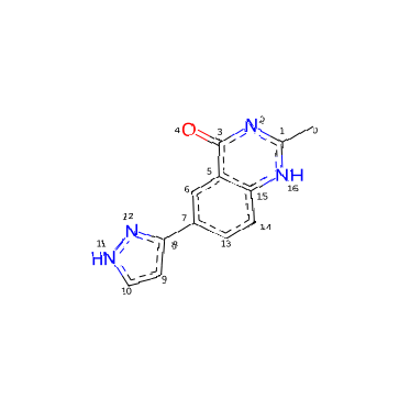 Cc1nc(=O)c2cc(-c3cc[nH]n3)ccc2[nH]1